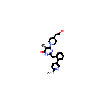 COc1ccc(-c2ccccc2Cc2nc(N3CCC(CCO)CC3)c(C#N)c(=O)[nH]2)cn1